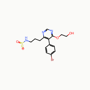 O=[SH](=O)NCCCc1ncnc(OCCO)c1-c1ccc(Br)cc1